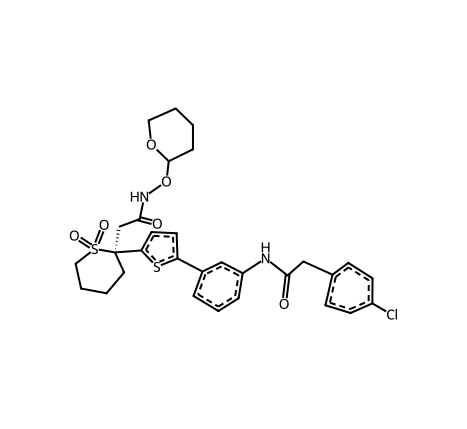 O=C(C[C@]1(c2ccc(-c3cccc(NC(=O)Cc4ccc(Cl)cc4)c3)s2)CCCCS1(=O)=O)NOC1CCCCO1